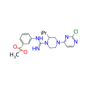 CC(C)C1CN(c2ccnc(Cl)n2)CCN1C(=N)Nc1cccc(S(C)(=O)=O)c1